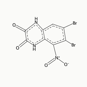 O=c1[nH]c2cc(Br)c(Br)c([N+](=O)[O-])c2[nH]c1=O